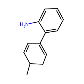 CC1C=CC(c2ccccc2N)=CC1